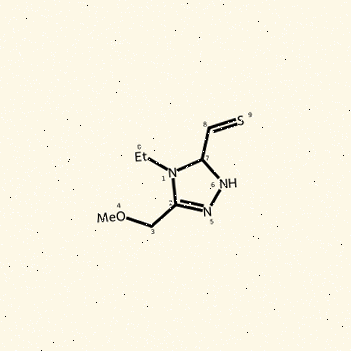 CCN1C(COC)=NNC1C=S